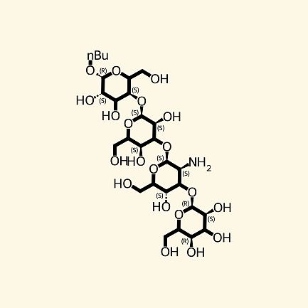 CCCCO[C@@H]1OC(CO)[C@@H](O[C@@H]2OC(CO)[C@H](O)C(O[C@@H]3OC(CO)[C@@H](O)C(O[C@@H]4OC(CO)[C@H](O)C(O)[C@@H]4O)[C@@H]3N)[C@@H]2O)C(O)[C@@H]1O